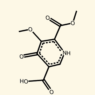 COC(=O)c1[nH]cc(C(=O)O)c(=O)c1OC